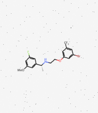 COc1cc(F)cc([C@@H](C)NCCOc2cc(Br)cc(C(F)(F)F)c2)c1